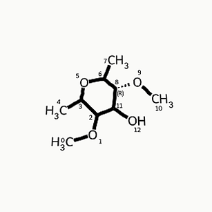 COC1C(C)OC(C)[C@H](OC)C1O